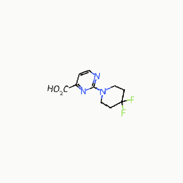 O=C(O)c1ccnc(N2CCC(F)(F)CC2)n1